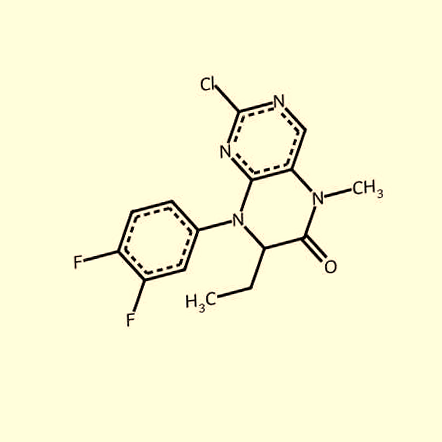 CCC1C(=O)N(C)c2cnc(Cl)nc2N1c1ccc(F)c(F)c1